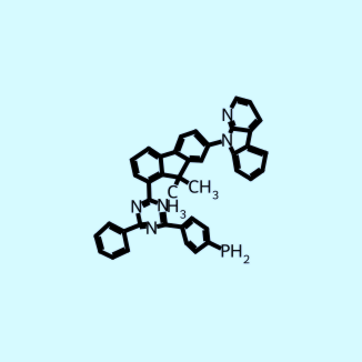 CC1(C)c2cc(-n3c4ccccc4c4cccnc43)ccc2-c2cccc(-c3nc(-c4ccccc4)nc(-c4ccc(P)cc4)n3)c21